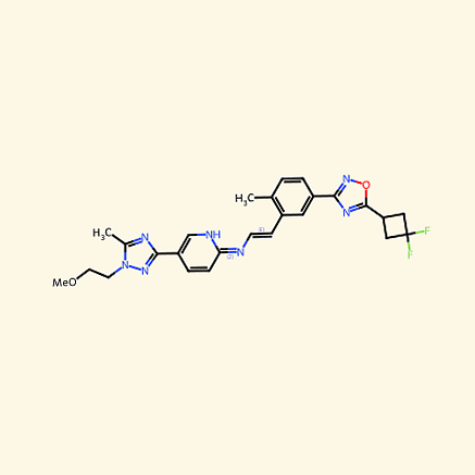 COCCn1nc(-c2cc/c(=N/C=C/c3cc(-c4noc(C5CC(F)(F)C5)n4)ccc3C)[nH]c2)nc1C